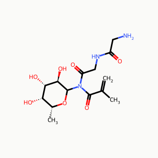 C=C(C)C(=O)N(C(=O)CNC(=O)CN)C1O[C@H](C)[C@H](O)[C@H](O)[C@H]1O